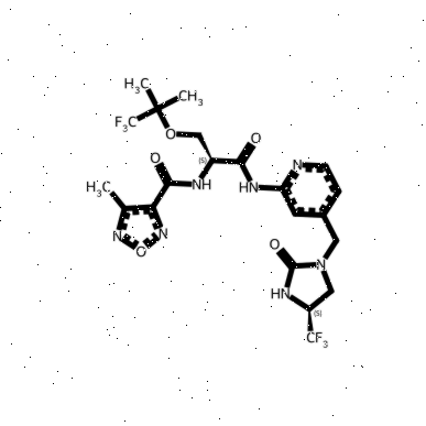 Cc1nonc1C(=O)N[C@@H](COC(C)(C)C(F)(F)F)C(=O)Nc1cc(CN2C[C@@H](C(F)(F)F)NC2=O)ccn1